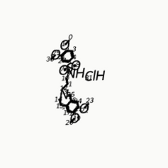 COc1ccc(S(=O)(=O)NCCCN2CCc3cc(OC)c(OC)cc3C2)cc1OC.Cl